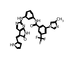 Cc1cn(-c2cc(C(=O)Nc3cccc(Nc4ncc5c(n4)NC(=O)/C5=C\c4ccc[nH]4)c3)cc(C(F)(F)F)c2)cn1